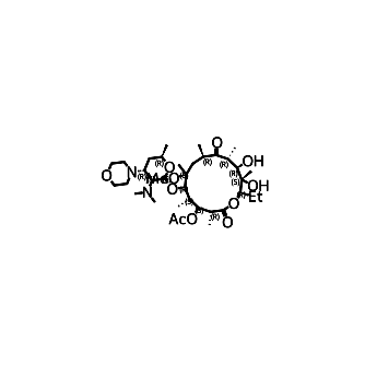 CC[C@H]1OC(=O)[C@H](C)[C@@H](OC(C)=O)[C@H](C)[C@@H](O[C@@H]2O[C@H](C)C[C@@H](N3CCOCC3)[C@@H]2N(C)C)[C@@](C)(OC)C[C@@H](C)C(=O)[C@H](C)[C@@H](O)[C@]1(C)O